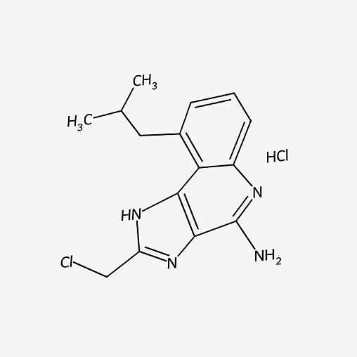 CC(C)Cc1cccc2nc(N)c3nc(CCl)[nH]c3c12.Cl